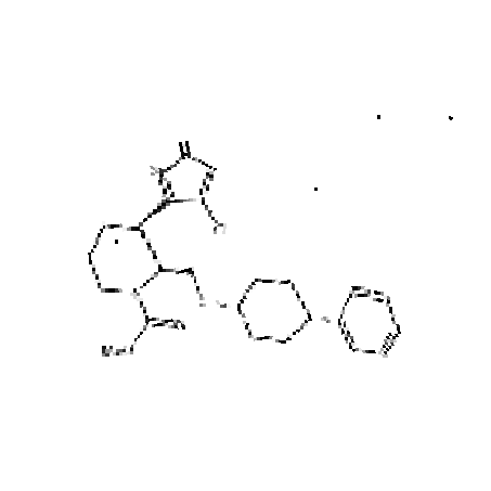 COC(=O)N1CCC[C@@H](c2n[nH]cc2Cl)[C@H]1CO[C@H]1CC[C@@H](c2ccccc2)CC1